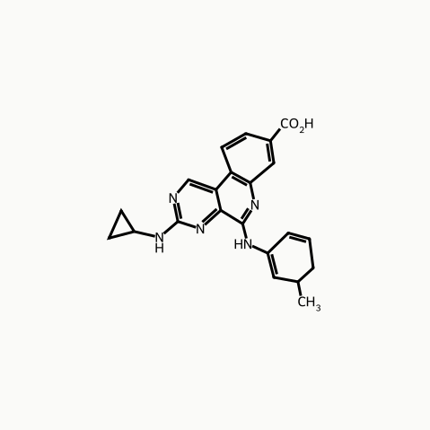 CC1C=C(Nc2nc3cc(C(=O)O)ccc3c3cnc(NC4CC4)nc23)C=CC1